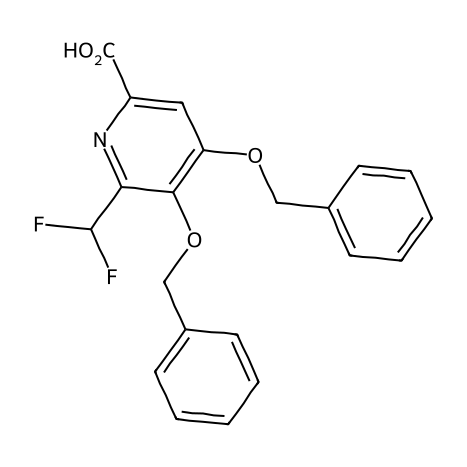 O=C(O)c1cc(OCc2ccccc2)c(OCc2ccccc2)c(C(F)F)n1